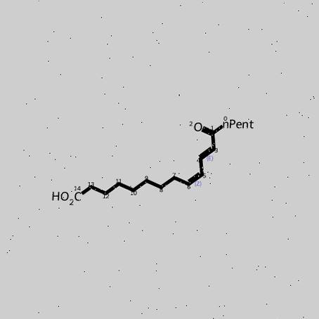 CCCCCC(=O)/C=C/C=C\CCCCCCCC(=O)O